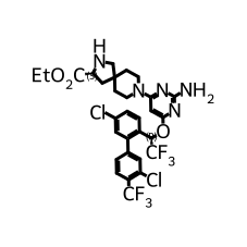 CCOC(=O)[C@@H]1CC2(CCN(c3cc(O[C@H](c4ccc(Cl)cc4-c4ccc(C(F)(F)F)c(Cl)c4)C(F)(F)F)nc(N)n3)CC2)CN1